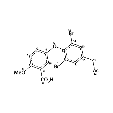 COc1ccc(Oc2c(Br)cc(CC(C)=O)cc2Br)cc1C(=O)O